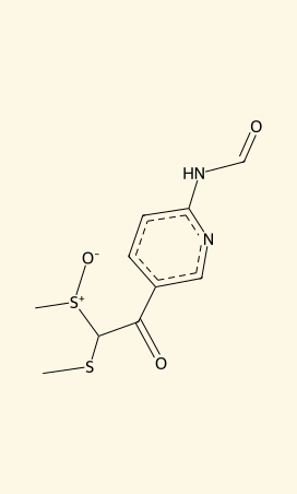 CSC(C(=O)c1ccc(NC=O)nc1)[S+](C)[O-]